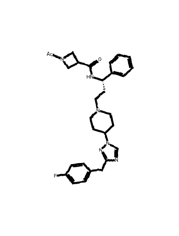 CC(=O)N1CC(C(=O)N[C@@H](CCN2CCC(n3cnc(Cc4ccc(F)cc4)n3)CC2)c2ccccc2)C1